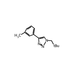 Cc1cccc(-c2cn(CC(C)(C)C)nn2)c1